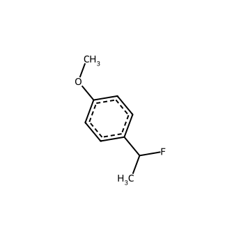 COc1ccc(C(C)F)cc1